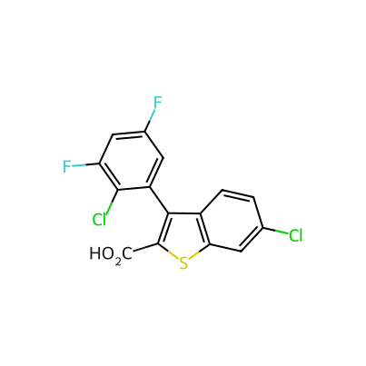 O=C(O)c1sc2cc(Cl)ccc2c1-c1cc(F)cc(F)c1Cl